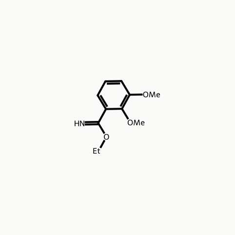 CCOC(=N)c1cccc(OC)c1OC